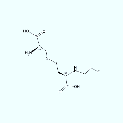 N[C@H](CSSC[C@@H](NCCF)C(=O)O)C(=O)O